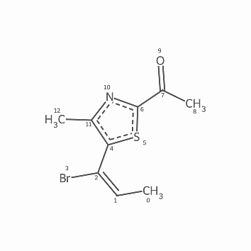 C/C=C(/Br)c1sc(C(C)=O)nc1C